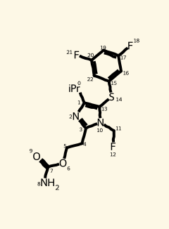 CC(C)c1nc(CCOC(N)=O)n(CF)c1Sc1cc(F)cc(F)c1